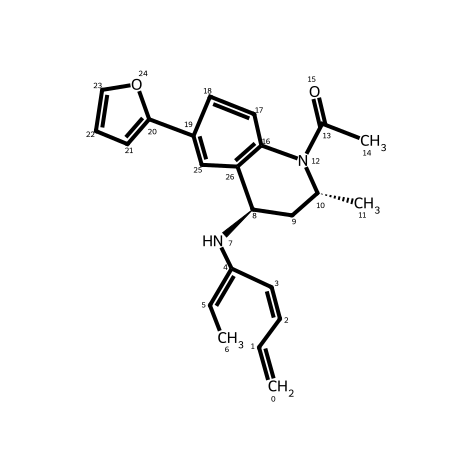 C=C/C=C\C(=C/C)N[C@@H]1C[C@@H](C)N(C(C)=O)c2ccc(-c3ccco3)cc21